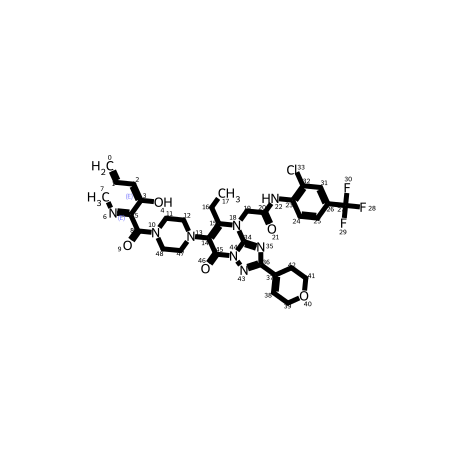 C=C/C=C(O)\C(=N/C)C(=O)N1CCN(c2c(CC)n(CC(=O)Nc3ccc(C(F)(F)F)cc3Cl)c3nc(C4=CCOCC4)nn3c2=O)CC1